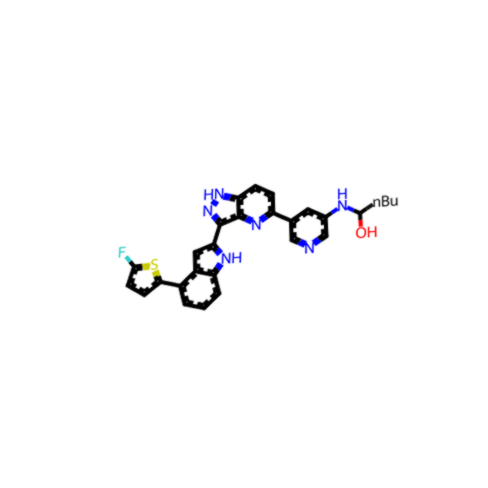 CCCCC(O)Nc1cncc(-c2ccc3[nH]nc(-c4cc5c(-c6ccc(F)s6)cccc5[nH]4)c3n2)c1